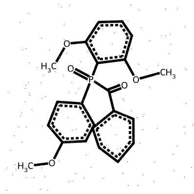 COc1ccc(P(=O)(C(=O)c2ccccc2)c2c(OC)cccc2OC)cc1